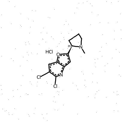 CN1CCC[C@@H]1c1cc2nc(Cl)c(Cl)cc2o1.Cl